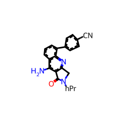 CCCN1Cc2nc3c(-c4ccc(C#N)cc4)cccc3c(N)c2C1=O